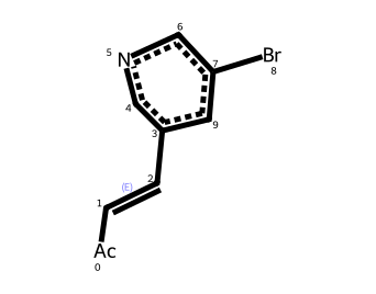 CC(=O)/C=C/c1cncc(Br)c1